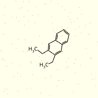 CCc1[c]c2ccccc2cc1CC